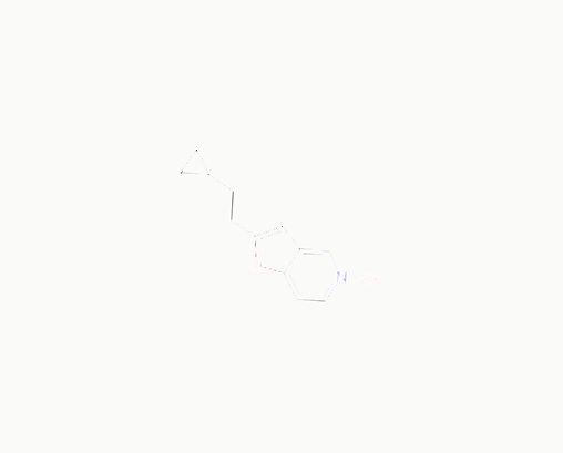 [O-][n+]1ccc2oc(CCC3CC3)cc2c1